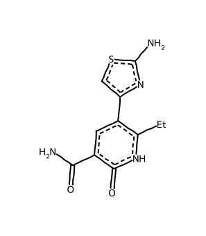 CCc1[nH]c(=O)c(C(N)=O)cc1-c1csc(N)n1